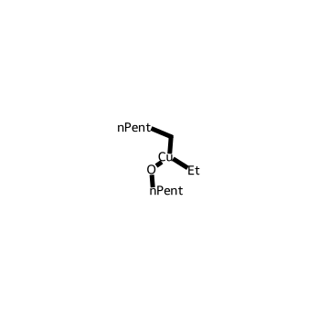 CCCCC[CH2][Cu]([CH2]C)[O]CCCCC